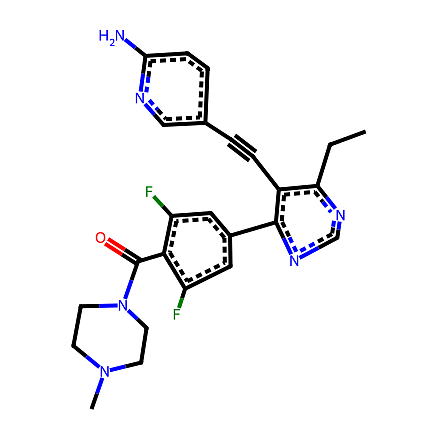 CCc1ncnc(-c2cc(F)c(C(=O)N3CCN(C)CC3)c(F)c2)c1C#Cc1ccc(N)nc1